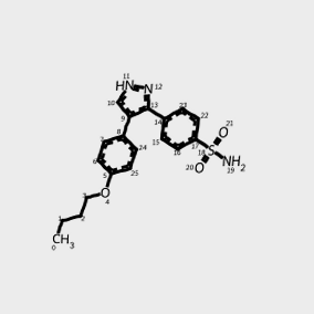 CCCCOc1ccc(-c2c[nH]nc2-c2ccc(S(N)(=O)=O)cc2)cc1